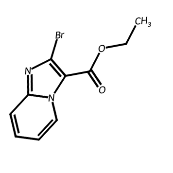 CCOC(=O)c1c(Br)nc2ccccn12